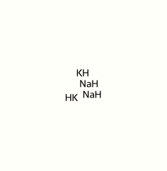 [KH].[KH].[NaH].[NaH]